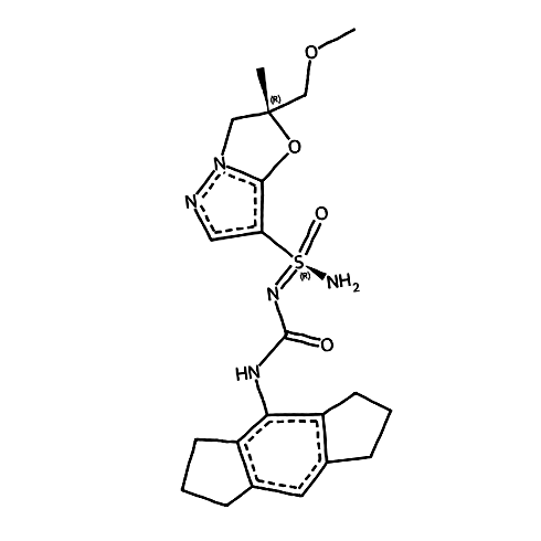 COC[C@@]1(C)Cn2ncc([S@](N)(=O)=NC(=O)Nc3c4c(cc5c3CCC5)CCC4)c2O1